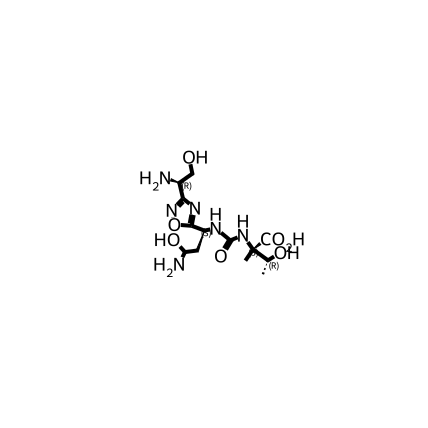 C[C@@H](O)[C@](C)(NC(=O)N[C@@H](CC(N)O)c1nc([C@@H](N)CO)no1)C(=O)O